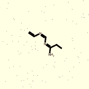 C=C/N=C\N=C(\N)CC